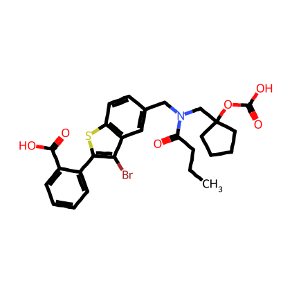 CCCC(=O)N(Cc1ccc2sc(-c3ccccc3C(=O)O)c(Br)c2c1)CC1(OC(=O)O)CCCC1